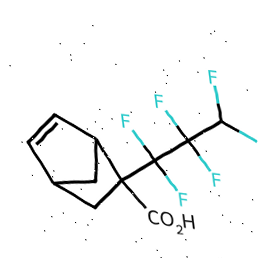 O=C(O)C1(C(F)(F)C(F)(F)C(F)F)CC2C=CC1C2